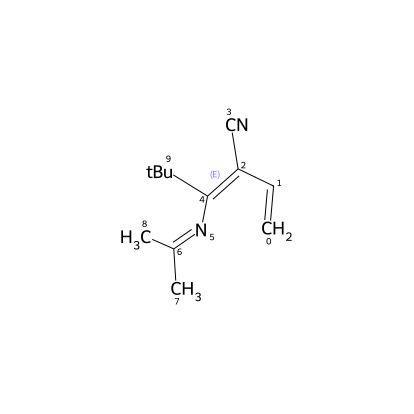 C=C/C(C#N)=C(\N=C(C)C)C(C)(C)C